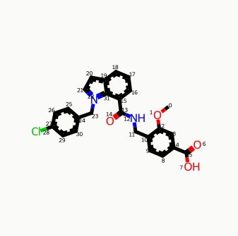 COc1cc(C(=O)O)ccc1CNC(=O)c1cccc2ccn(Cc3ccc(Cl)cc3)c12